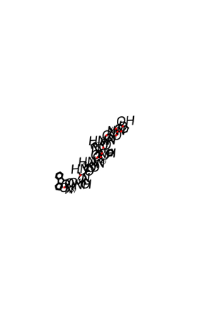 CC(C)C[C@H](NC(=O)[C@H](C)N(C)C(=O)OCC1c2ccccc2-c2ccccc21)C(=O)N(C)CC(=O)N[C@@H](C)C(=O)N[C@@H](CC(C)C)C(=O)N(C)[C@@H](Cc1ccccc1)C(=O)N[C@@H](C)C(=O)N1CCC[C@H]1C(=O)N[C@@H](C)C(=O)N(C)[C@@H](CC(C)C)C(=O)N(C)[C@@H](CC(=O)O)C(=O)N1CCCCC1